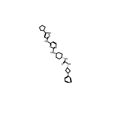 O=C(N[C@H]1CC[C@H](Nc2nccc(Nc3cc(C4CCCC4)[nH]n3)n2)CC1)N[C@H]1C[C@H](c2ccccc2)C1